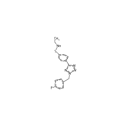 CCNSc1ccc(-c2nnn(Cc3ccc(F)cc3)n2)cc1